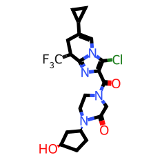 O=C(c1nc2n(c1Cl)C=C(C1CC1)CC2C(F)(F)F)N1CCN([C@@H]2CC[C@@H](O)C2)C(=O)C1